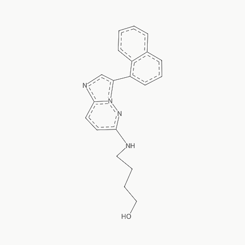 OCCCCNc1ccc2ncc(-c3cccc4ccccc34)n2n1